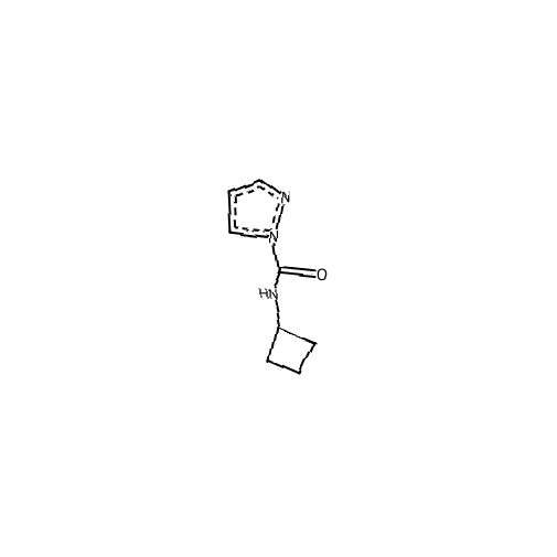 O=C(NC1CCC1)n1cccn1